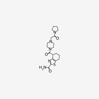 NC(=O)c1nc2c(s1)CCCC2C(=O)N1CCN(CC(=O)N2CCCC2)CC1